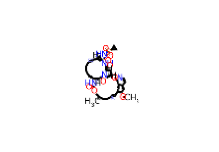 COc1cc2ccnc3c2cc1/C=C/CC[C@H](C)COC(=O)N[C@H]1CCCCC/C=C\[C@@H]2C[C@@]2(C(=O)NS(=O)(=O)C2CC2)NC(=O)[C@@H]2C[C@H](CN2C1=O)O3